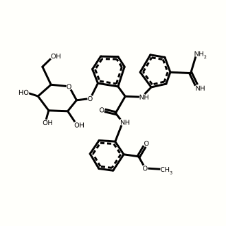 COC(=O)c1ccccc1NC(=O)C(Nc1cccc(C(=N)N)c1)c1ccccc1OC1OC(CO)C(O)C(O)C1O